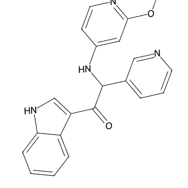 COc1cc(NC(C(=O)c2c[nH]c3ccccc23)c2cccnc2)ccn1